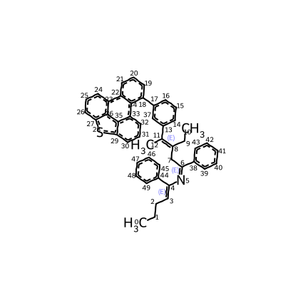 CCC/C=C(/N=C(\C/C(CC)=C(\C)c1cccc(-c2cccc3c4cccc5sc6cccc(c23)c6c54)c1)c1ccccc1)c1ccccc1